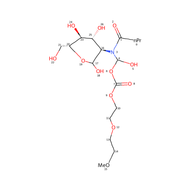 CCCC(=O)N(C(O)OC(=O)OCCOCCOC)[C@H]1C(O)O[C@H](CO)[C@@H](O)[C@@H]1O